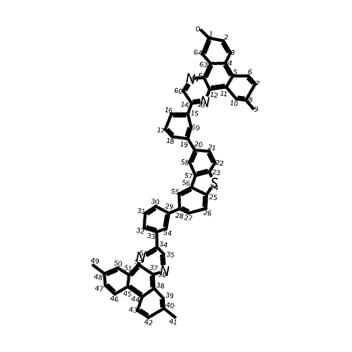 Cc1ccc2c3ccc(C)cc3c3nc(-c4cccc(-c5ccc6sc7ccc(-c8cccc(-c9cnc%10c%11cc(C)ccc%11c%11ccc(C)cc%11c%10n9)c8)cc7c6c5)c4)cnc3c2c1